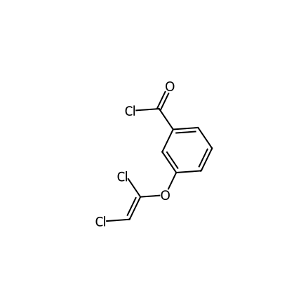 O=C(Cl)c1cccc(O/C(Cl)=C/Cl)c1